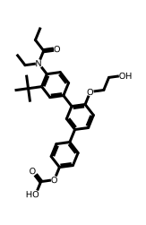 CCC(=O)N(CC)c1ccc(-c2cc(-c3ccc(OC(=O)O)cc3)ccc2OCCO)cc1C(C)(C)C